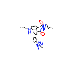 CCCCNc1ccc2c3c(cc(-c4cccc(-c5nnc(C)nn5)c4)cc13)C(=O)N(CCCC)C2=O